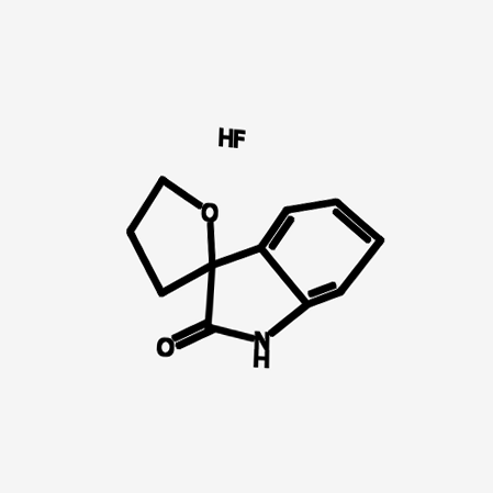 F.O=C1Nc2ccccc2C12CCCO2